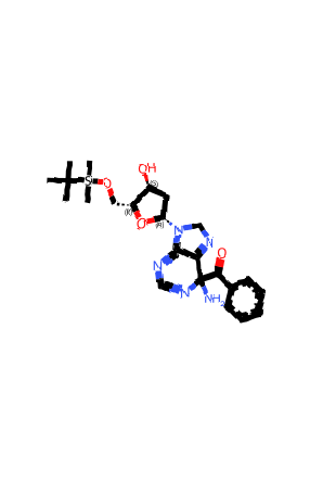 CC(C)(C)[Si](C)(C)OC[C@H]1O[C@@H](N2CN=C3C2=NC=NC3(N)C(=O)c2ccccc2)C[C@@H]1O